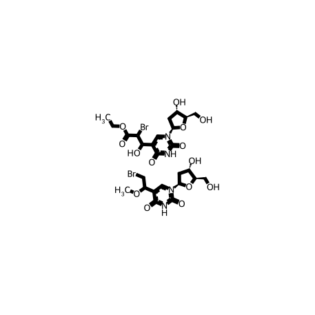 CCOC(=O)C(Br)C(O)c1cn([C@H]2C[C@H](O)[C@@H](CO)O2)c(=O)[nH]c1=O.COC(CBr)c1cn([C@H]2C[C@H](O)[C@@H](CO)O2)c(=O)[nH]c1=O